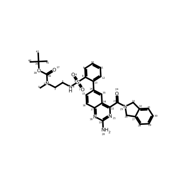 CN(CCNS(=O)(=O)c1ccccc1-c1ccc2nc(N)nc(C(=O)N3Cc4ccccc4C3)c2c1)C(=O)OC(C)(C)C